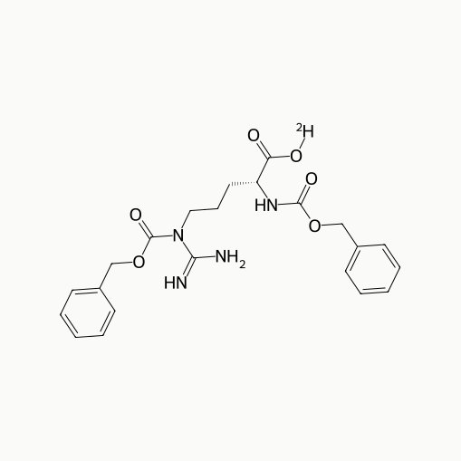 [2H]OC(=O)[C@@H](CCCN(C(=N)N)C(=O)OCc1ccccc1)NC(=O)OCc1ccccc1